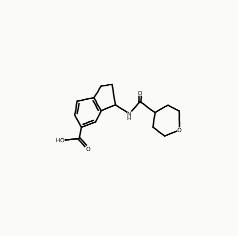 O=C(O)c1ccc2c(c1)C(NC(=O)C1CCOCC1)CC2